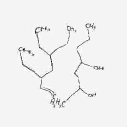 C=CC(CC)CC(CC)CC.CCCC(O)CC(C)O